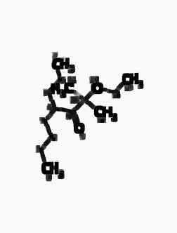 CCCCC(CCC)C(=O)C(C)(C)OCC